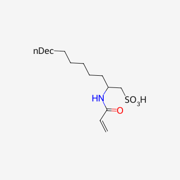 C=CC(=O)NC(CCCCCCCCCCCCCCC)CS(=O)(=O)O